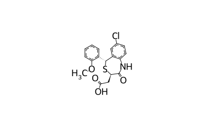 COc1ccccc1[C@H]1S[C@H](CC(=O)O)C(=O)Nc2ccc(Cl)cc21